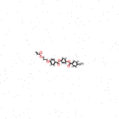 C=CC(=O)OCCCOc1ccc(C(=O)Oc2ccc(OC(=O)c3ccc(CCC)cc3)cc2)cc1